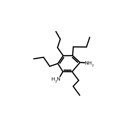 CCCc1c(N)c(CCC)c(CCC)c(CCC)c1N